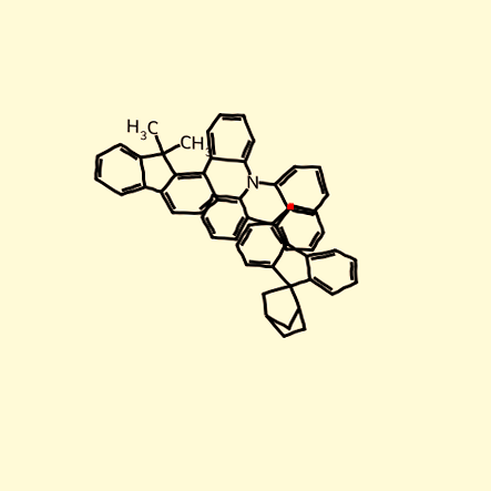 CC1(C)c2ccccc2-c2cccc(-c3ccccc3N(c3ccccc3-c3ccccc3)c3ccccc3-c3cccc4c3-c3ccccc3C43CC4CCC3C4)c21